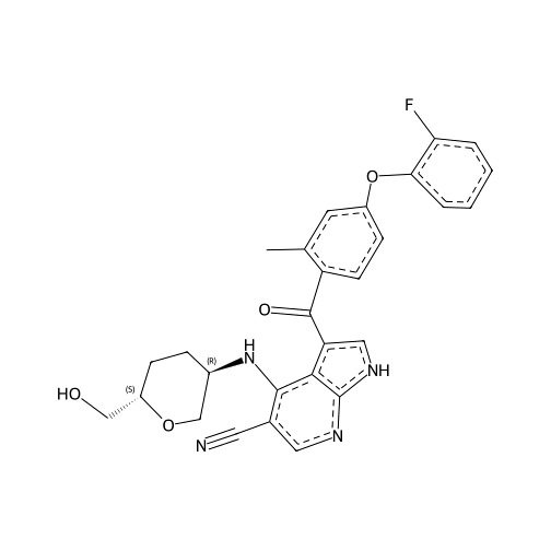 Cc1cc(Oc2ccccc2F)ccc1C(=O)c1c[nH]c2ncc(C#N)c(N[C@@H]3CC[C@@H](CO)OC3)c12